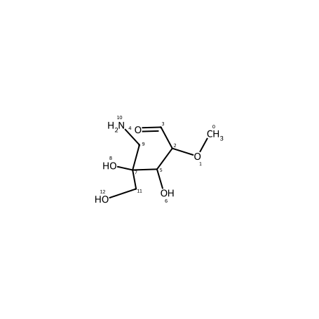 COC(C=O)C(O)C(O)(CN)CO